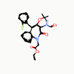 CCOC(=O)CN1C(=O)C(NC=O)C(OC(C)(C)C)=C(c2ccccc2F)c2ccccc21